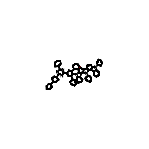 C1=CCC(c2cc(-c3nc(-c4ccccc4)nc(-c4ccc(-c5ccccc5)cc4)n3)cc(-c3ccccc3)c2-n2c3ccccc3c3c2ccc2c4ccc5c(c6ccccc6n5-c5ccccc5)c4n(C4C=CC=CC4)c23)C=C1